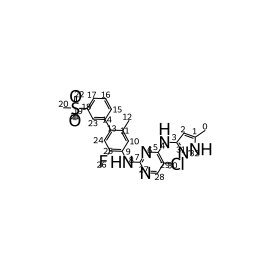 Cc1cc(Nc2nc(Nc3cc(C)c(-c4cccc(S(C)(=O)=O)c4)cc3F)ncc2Cl)n[nH]1